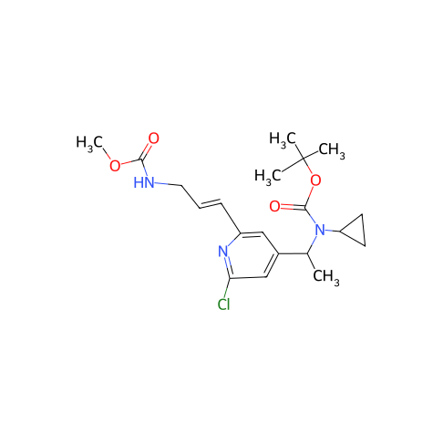 COC(=O)NC/C=C/c1cc(C(C)N(C(=O)OC(C)(C)C)C2CC2)cc(Cl)n1